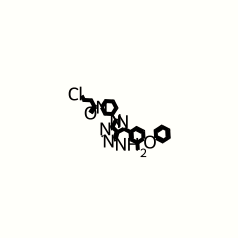 CC1C=C(c2nn([C@@H]3CCCN(C(=O)CCCl)C3)c3ncnc(N)c23)C=CC1Oc1ccccc1